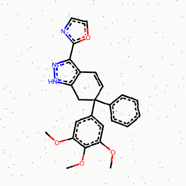 COc1cc(C2(c3ccccc3)C=Cc3c(-c4ncco4)n[nH]c3C2)cc(OC)c1OC